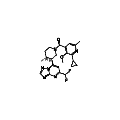 COc1c(C(=O)N2CC[C@@H](C)[C@H](c3cc(C(F)F)nc4ncnn34)C2)cc(C)nc1C1CC1